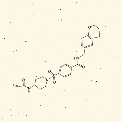 C=CC(=O)NC1CCN(S(=O)(=O)c2ccc(C(=O)NCc3ccc4c(c3)CCCO4)cc2)CC1